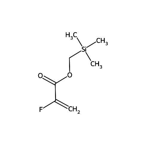 C=C(F)C(=O)OC[Si](C)(C)C